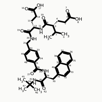 CC(C)[C@@H](CCC(=O)O)C(=O)N[C@@H](CCC(=O)O)C(=O)NCc1ccc(C(=O)N[C@@H](Cc2ccc3ccccc3c2)C(=O)NC(C)(C)C)cc1